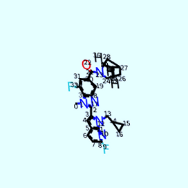 Cn1c(-c2cc3ccc(F)nc3n2CC2CC2)nc2cc(C(=O)N3C[C@H]4CC5C[C@@H]3[C@H]54)cc(F)c21